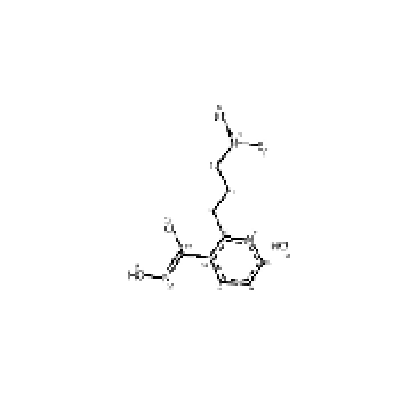 CCN(CC)CCCc1ncccc1C(Cl)=NO.Cl